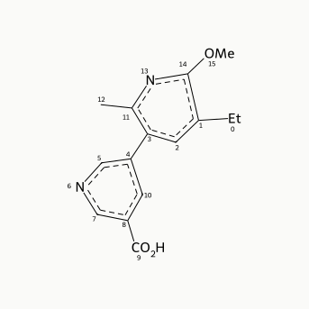 CCc1cc(-c2cncc(C(=O)O)c2)c(C)nc1OC